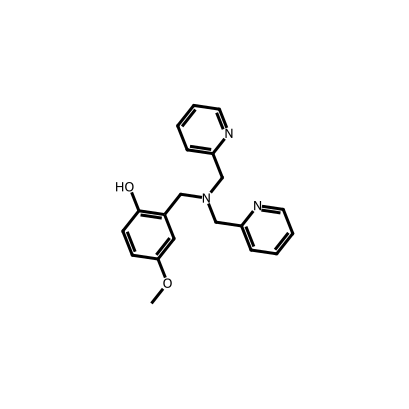 COc1ccc(O)c(CN(Cc2ccccn2)Cc2ccccn2)c1